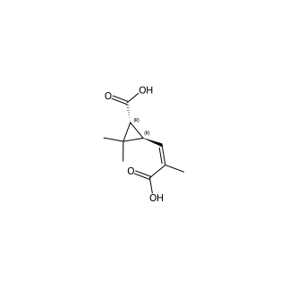 CC(=C[C@@H]1[C@@H](C(=O)O)C1(C)C)C(=O)O